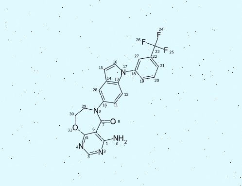 Nc1ncnc2c1C(=O)N(c1ccc3c(ccn3-c3cccc(C(F)(F)F)c3)c1)CCO2